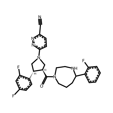 N#Cc1ccc(N2C[C@@H](C(=O)N3CCCC(c4ccccc4F)NCC3)[C@H](c3ccc(F)cc3F)C2)nn1